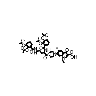 CCn1cc(C(=O)O)c(=O)c2cc(F)c(N3CCN(C(=O)C(CCCNC(=O)c4cccc(OC(C)=O)c4OC(C)=O)NC(=O)c4cccc(OC(C)=O)c4OC(C)=O)CC3)cc21